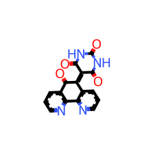 O=C1NC(=O)C(=C2C(=O)c3cccnc3-c3ncccc32)C(=O)N1